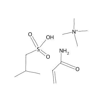 C=CC(N)=O.CC(C)CS(=O)(=O)O.C[N+](C)(C)C